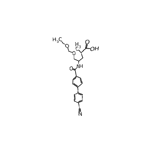 CCOCOCC(CC(C)C(=O)O)NC(=O)c1ccc(-c2ccc(C#N)cc2)cc1